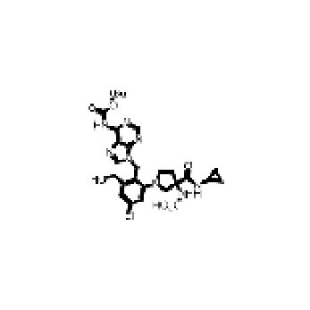 CC(C)(C)OC(=O)Nc1ncnc2c1ncn2Cc1c(CO)cc(Cl)cc1N1CCC(NC(=O)O)(C(=O)NC2CC2)C1